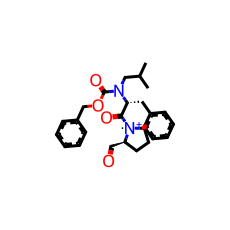 CC(C)CN(C(=O)OCc1ccccc1)[C@H](Cc1ccccc1)C(=O)[N+]1CCC[C@H]1C=O